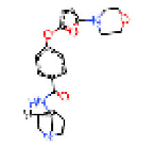 O=C(N[C@H]1CN2CCC1CC2)c1ccc(Oc2ccc(N3CCOCC3)o2)cc1